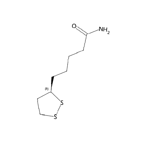 NC(=O)CCCC[C@@H]1CCSS1